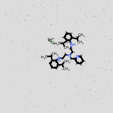 CC(C)c1cccc(C(C)C)c1NCCN(CCNc1c(C(C)C)cccc1C(C)C)Cc1ccccn1.[Cl-].[Cl-].[Ru+2]